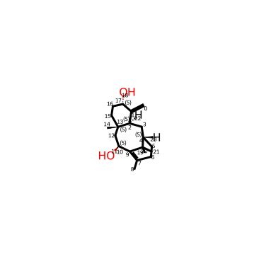 C=C1[C@H]2C[C@@H]3CCC(C)=C([C@@H](O)C[C@]2(C)CC[C@@H]1O)C3(C)C